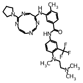 Cc1ccc(C(=O)Nc2ccc(N(C)CCN(C)C)c(C(F)(F)F)c2)cc1Nc1cnc(N2CCCC2)nccncn1